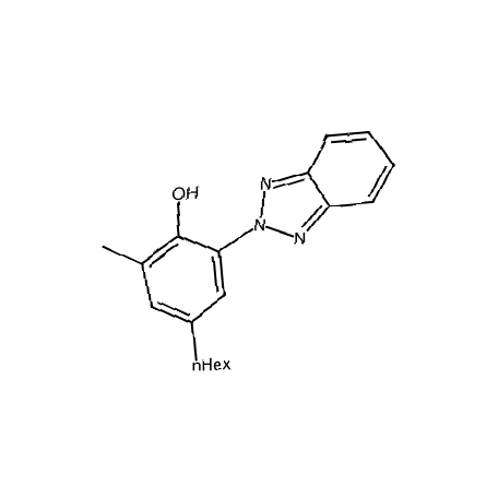 CCCCCCc1cc(C)c(O)c(-n2nc3ccccc3n2)c1